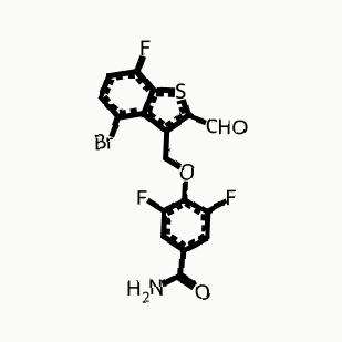 NC(=O)c1cc(F)c(OCc2c(C=O)sc3c(F)ccc(Br)c23)c(F)c1